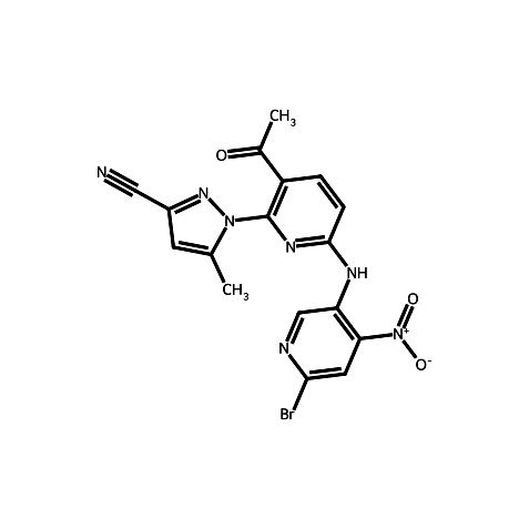 CC(=O)c1ccc(Nc2cnc(Br)cc2[N+](=O)[O-])nc1-n1nc(C#N)cc1C